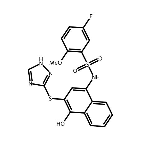 COc1ccc(F)cc1S(=O)(=O)Nc1cc(Sc2nc[nH]n2)c(O)c2ccccc12